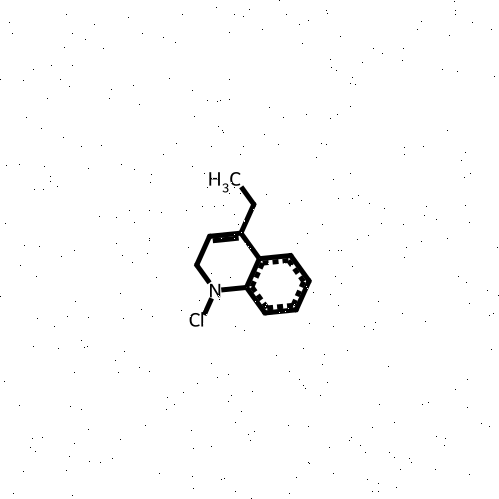 CCC1=CCN(Cl)c2ccccc21